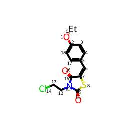 CCOc1ccc(C=C2SC(=O)N(CCCl)C2=O)cc1